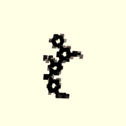 COc1ccc(Nc2ncc(-c3nc(N)cc(N4CCOCC4)n3)c(C(F)(F)F)n2)cn1